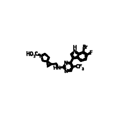 O=C(O)N1CCC2(CC2CNc2ncc(C(F)(F)F)c(-c3c[nH]c4c(Br)c(F)ccc34)n2)C1